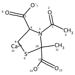 CC(=O)N1C(C(=O)[O-])CSC1(C)C(=O)[O-].[Ca+2]